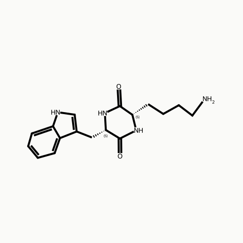 NCCCC[C@@H]1NC(=O)[C@H](Cc2c[nH]c3ccccc23)NC1=O